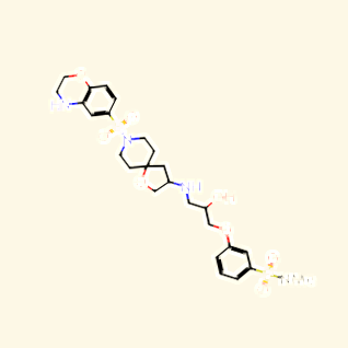 CNS(=O)(=O)c1cccc(OCC(O)CNC2COC3(CCN(S(=O)(=O)c4ccc5c(c4)NCCO5)CC3)C2)c1